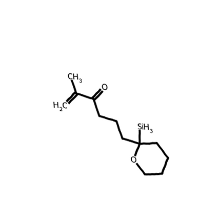 C=C(C)C(=O)CCCC1([SiH3])CCCCO1